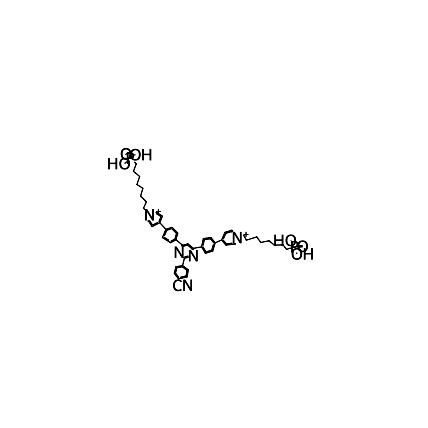 N#Cc1ccc(-c2nc(-c3ccc(-c4cc[n+](CCCCCCCCP(=O)(O)O)cc4)cc3)cc(-c3ccc(-c4cc[n+](CCCCCCCCP(=O)(O)O)cc4)cc3)n2)cc1